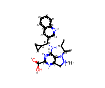 [2H]N1Cc2nc(C(=O)O)nc(N[C@@H](c3cnc4ccccc4c3)C3CC3)c2N1C(C)CC